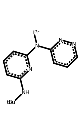 CC(C)N(c1cccnn1)c1cccc(NC(C)(C)C)n1